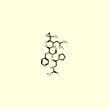 CC(=O)NCC(=O)N1CCC[C@H]1C(=O)N[C@@H](Cc1ccncc1)C(=O)NC(CC(C)C)C(=O)[C@@]1(C)CO1